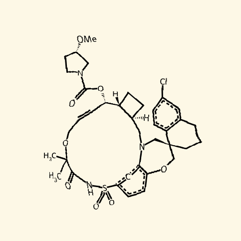 CO[C@H]1CCN(C(=O)O[C@H]2/C=C/COC(C)(C)C(=O)NS(=O)(=O)c3ccc4c(c3)N(C[C@@H]3CC[C@H]32)C[C@@]2(CCCc3cc(Cl)ccc32)CO4)C1